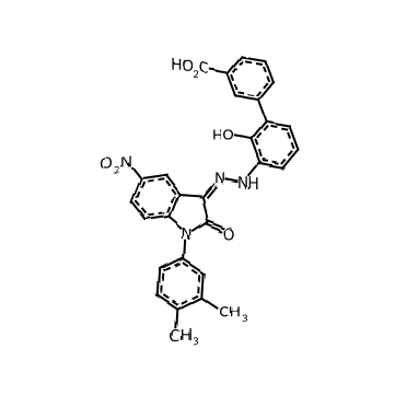 Cc1ccc(N2C(=O)/C(=N\Nc3cccc(-c4cccc(C(=O)O)c4)c3O)c3cc([N+](=O)[O-])ccc32)cc1C